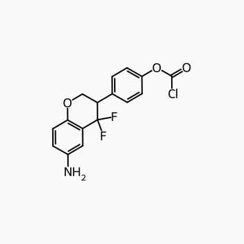 Nc1ccc2c(c1)C(F)(F)C(c1ccc(OC(=O)Cl)cc1)CO2